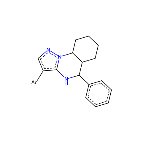 CC(=O)c1cnn2c1NC(c1ccccc1)C1CCCCC12